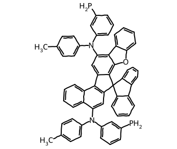 Cc1ccc(N(c2cccc(P)c2)c2cc3c(c4ccccc24)-c2cc(N(c4ccc(C)cc4)c4cccc(P)c4)c4c(oc5ccccc54)c2C32c3ccccc3-c3ccccc32)cc1